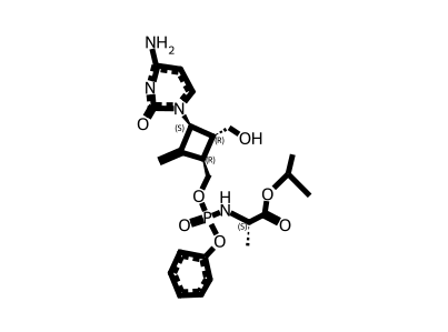 C=C1[C@@H](n2ccc(N)nc2=O)[C@H](CO)[C@H]1COP(=O)(N[C@@H](C)C(=O)OC(C)C)Oc1ccccc1